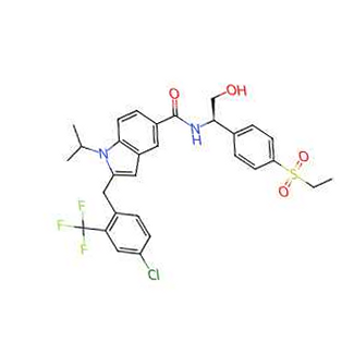 CCS(=O)(=O)c1ccc([C@H](CO)NC(=O)c2ccc3c(c2)cc(Cc2ccc(Cl)cc2C(F)(F)F)n3C(C)C)cc1